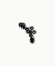 c1ccc(-c2c(-c3ccccc3)n(-c3ccc(-c4cn5ccccc5n4)cc3)c3ccc4cc(-c5cnc6c(ccc7cccnc76)c5)ccc4c23)cc1